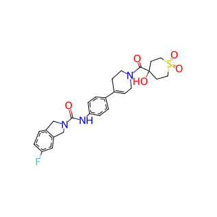 O=C(Nc1ccc(C2=CCN(C(=O)C3(O)CCS(=O)(=O)CC3)CC2)cc1)N1Cc2ccc(F)cc2C1